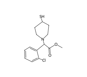 COC(=O)C(c1ccccc1Cl)N1CCC(S)CC1